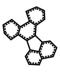 c1cc2c3c(cccc3c1)-c1c-2c2ccccc2c2ccccc12